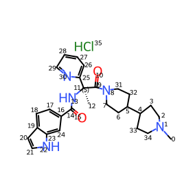 CN1CCC(C2CCN(C(=O)[C@@](C)(NC(=O)c3ccc4cc[nH]c4c3)c3ccccn3)CC2)CC1.Cl